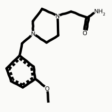 COc1cccc(CN2CCN(CC(N)=O)CC2)c1